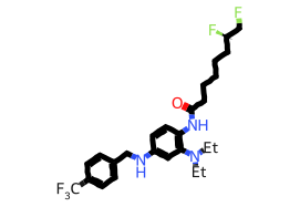 CCN(CC)c1cc(NCc2ccc(C(F)(F)F)cc2)ccc1NC(=O)CCCCC[C@@H](F)CF